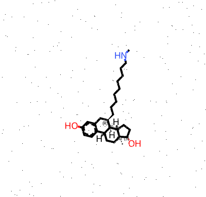 CNCCCCCCCCC[C@@H]1Cc2cc(O)ccc2[C@H]2CC[C@]3(C)[C@@H](O)CC[C@H]3[C@H]12